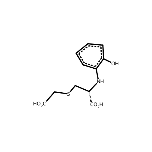 O=C(O)CSC[C@H](Nc1ccccc1O)C(=O)O